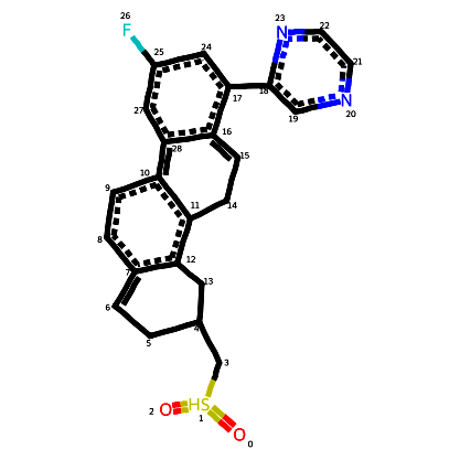 O=[SH](=O)CC1CC=c2ccc3c(c2C1)CC=c1c(-c2cnccn2)cc(F)cc1=3